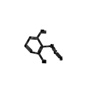 CCc1cccc(C(C)CC)c1N=C=S